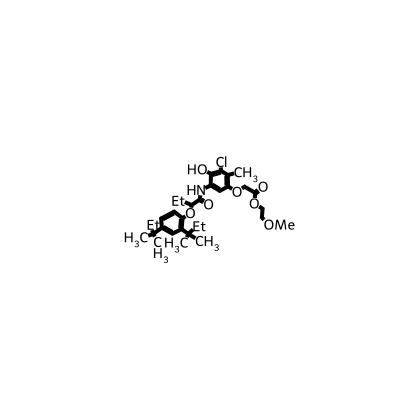 CCC(Oc1ccc(C(C)(C)CC)cc1C(C)(C)CC)C(=O)Nc1cc(OCC(=O)OCCOC)c(C)c(Cl)c1O